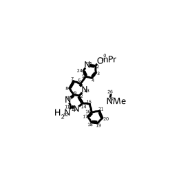 CCCOc1ccc(-c2ccc3nc(N)nc(Cc4ccccc4)c3n2)cn1.CNC